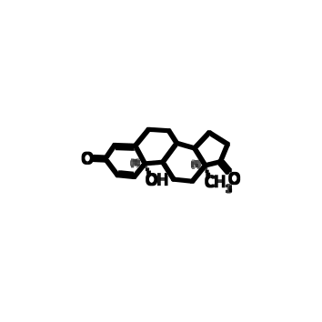 C[C@]12CCC3C(CCC4=CC(=O)C=C[C@@]43O)C1CCC2=O